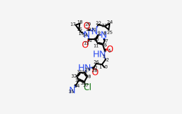 CC(CNC(=O)c1cnc2c(c1)c(=O)n(CC1CC1)c(=O)n2CC1CC1)CC(=O)Nc1ccc(C#N)c(Cl)c1